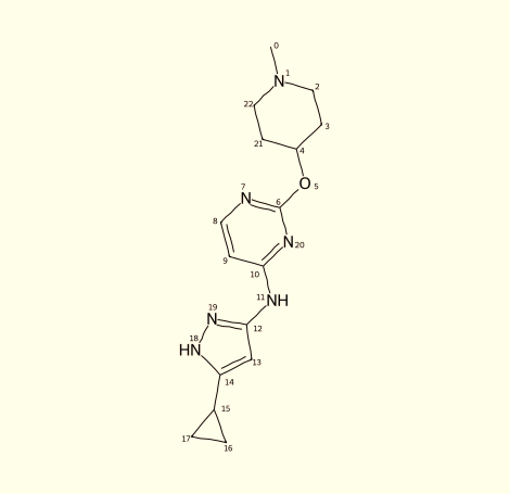 CN1CCC(Oc2nccc(Nc3cc(C4CC4)[nH]n3)n2)CC1